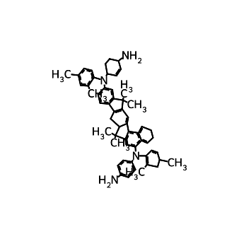 CC1=C(N(c2ccc(N)cc2)c2cc3c(c4c2=CCCC=4)C2=CC4=C(CC2C3(C)C)c2ccc(N(c3ccc(C)cc3C)C3C=CC(N)CC3)cc2C4(C)C)C=CC(C)C1